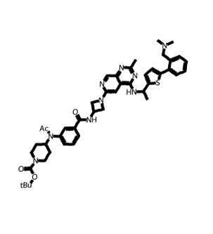 CC(=O)N(c1cccc(C(=O)NC2CN(c3cc4c(NC(C)c5ccc(-c6ccccc6CN(C)C)s5)nc(C)nc4cn3)C2)c1)C1CCN(C(=O)OC(C)(C)C)CC1